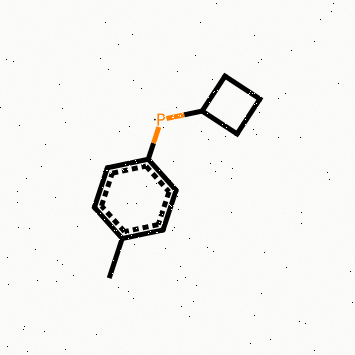 Cc1ccc([P]C2CCC2)cc1